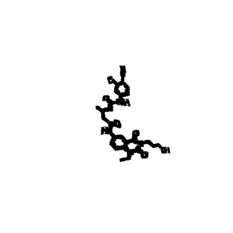 CCn1c(=O)n(CCCO)c(=O)c2cc(NC(=O)CC(C)CC(=O)Nc3ccc(C#N)c(Cl)c3)ccc21